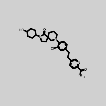 NC(=O)c1ccc(CCc2ccc(N3CCCC4(CCN(C5CCC(O)CC5)C4=O)C3)c(Cl)c2)cn1